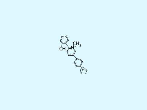 Cc1ccccc1-c1ccc(-c2ccc(C3C4CCC3C4)cc2)c[n+]1C